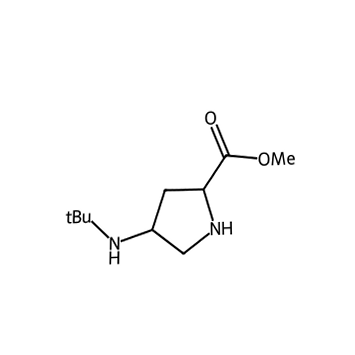 COC(=O)C1CC(NC(C)(C)C)CN1